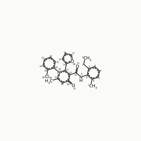 CCc1cccc(C)c1NC(=O)c1c(-c2ccco2)n(-c2ccccc2Cl)c(C)cc1=O